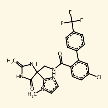 C=C1NC(=O)C(CNC(=O)c2ccc(Cl)cc2-c2ccc(C(F)(F)F)cc2)(c2nccn2C)N1